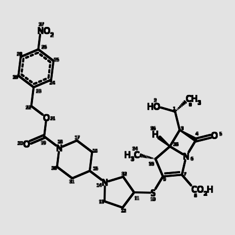 C[C@@H](O)[C@H]1C(=O)N2C(C(=O)O)=C(SC3CCN(C4CCN(C(=O)OCc5ccc([N+](=O)[O-])cc5)CC4)C3)[C@H](C)[C@H]12